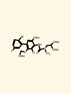 COCOc1c(-c2cc(F)ccc2Br)cc(OC)c(NC(=O)N(C)CC(OC)OC)c1Cl